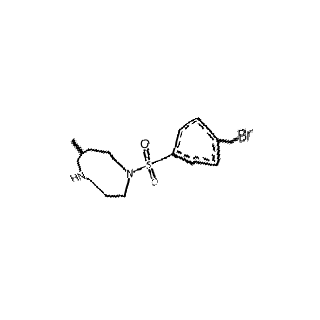 CC1CN(S(=O)(=O)c2ccc(Br)cc2)CCN1